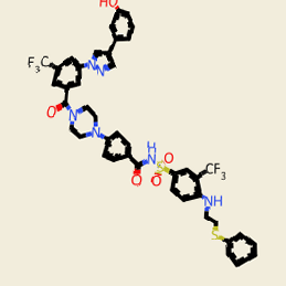 O=C(NS(=O)(=O)c1ccc(NCCSc2ccccc2)c(C(F)(F)F)c1)c1ccc(N2CCN(C(=O)c3cc(-n4cc(-c5cccc(O)c5)cn4)cc(C(F)(F)F)c3)CC2)cc1